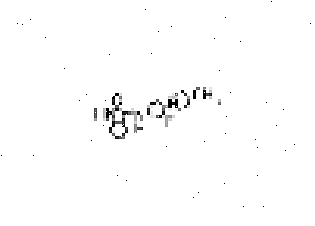 CC1CCN(c2ccc(N/C=C3/C(=O)Nc4ccccc43)cc2F)CC1